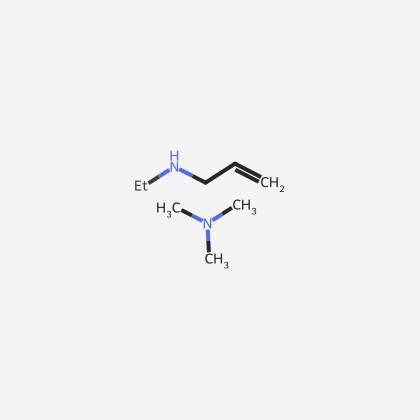 C=CCNCC.CN(C)C